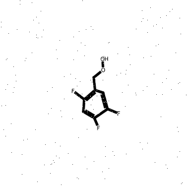 OOCc1cc(F)c(F)cc1F